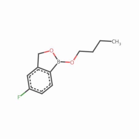 CCCCOB1OCc2cc(F)ccc21